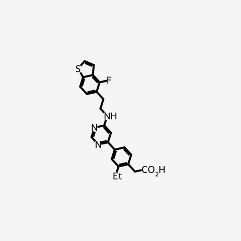 CCc1cc(-c2cc(NCCc3ccc4sccc4c3F)ncn2)ccc1CC(=O)O